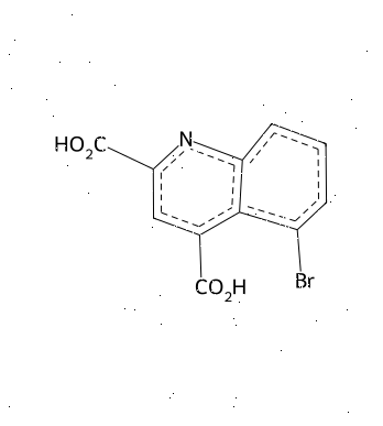 O=C(O)c1cc(C(=O)O)c2c(Br)cccc2n1